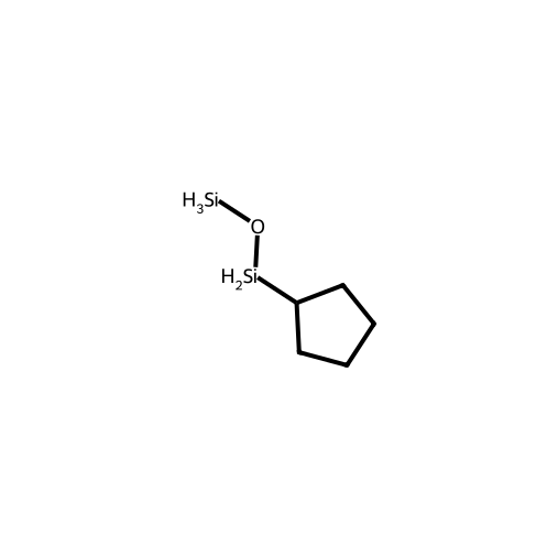 [SiH3]O[SiH2]C1CCCC1